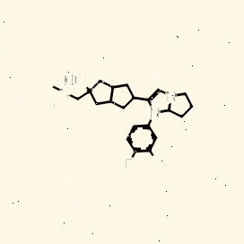 CS(=O)(=O)CC1(O)CC2CC(C3=CN4CCCC4N3c3ccc(F)c(Cl)c3)CC2C1